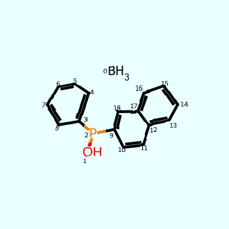 B.OP(c1ccccc1)c1ccc2ccccc2c1